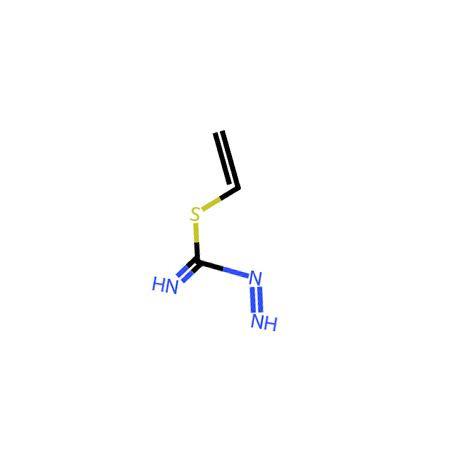 C=CSC(=N)N=N